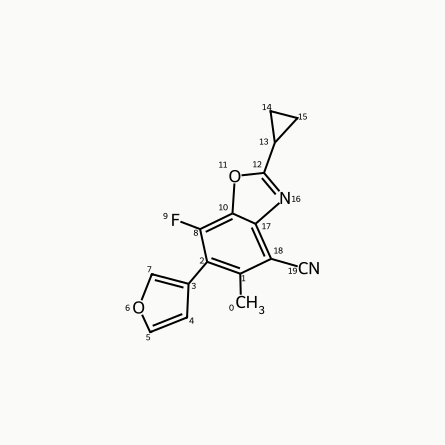 Cc1c(-c2ccoc2)c(F)c2oc(C3CC3)nc2c1C#N